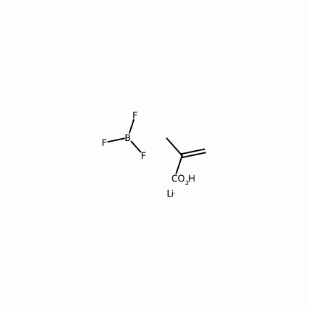 C=C(C)C(=O)O.FB(F)F.[Li]